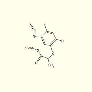 CCCCCOC(=O)C(C)Sc1cc(N=C=S)c(F)cc1Cl